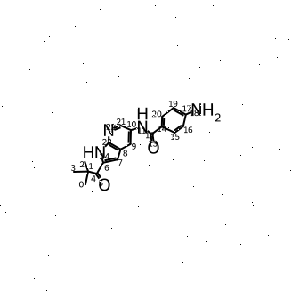 CC(C)(C)C(=O)c1cc2cc(NC(=O)c3ccc(N)cc3)cnc2[nH]1